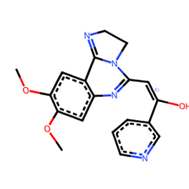 COc1cc2c(cc1OC)C1=NCCN1C(/C=C(/O)c1cccnc1)=N2